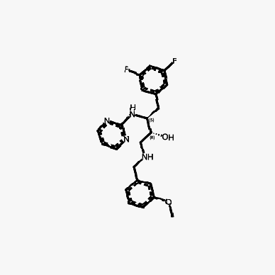 COc1cccc(CNC[C@@H](O)[C@H](Cc2cc(F)cc(F)c2)Nc2ncccn2)c1